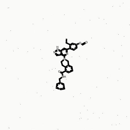 CCc1cc(OC=O)ccc1-c1cc2[nH]ncc2c(N2CCc3c(cccc3C(=O)NCc3ccccc3)C2)n1